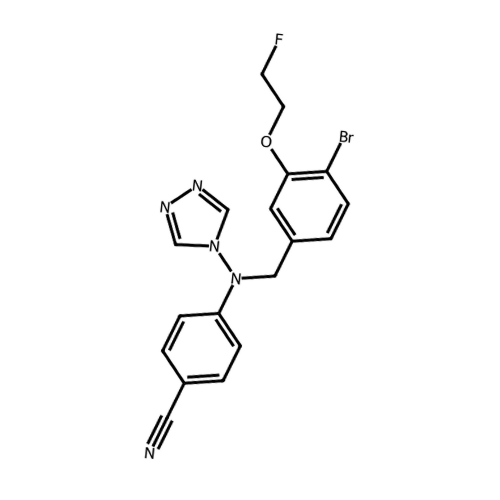 N#Cc1ccc(N(Cc2ccc(Br)c(OCCF)c2)n2cnnc2)cc1